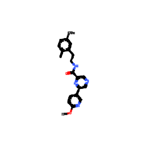 CCOc1ccc(-c2cncc(C(=O)NCCc3cc(OC)ccc3C)n2)cn1